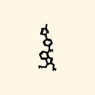 Cc1ncn(-c2ccc(Nc3cccc4c3nc(CC(C)C)n4CC(C)C)cc2)n1